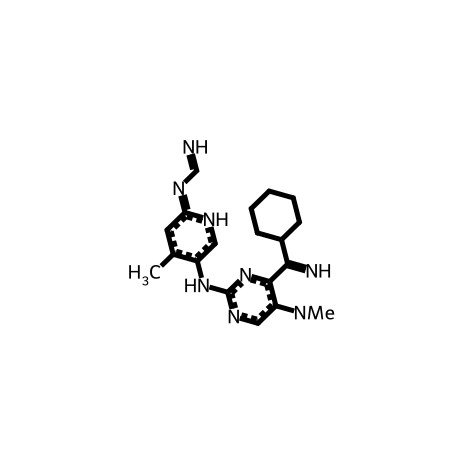 CNc1cnc(Nc2c[nH]/c(=N\C=N)cc2C)nc1C(=N)C1CCCCC1